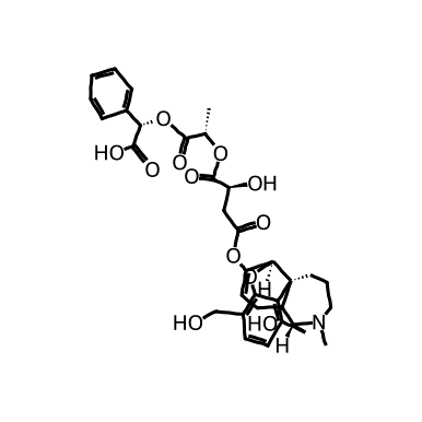 C[C@H](OC(=O)[C@@H](O)CC(=O)OC1=CC[C@@]2(O)[C@H]3Cc4ccc(CO)c5c4[C@@]2(CCCN3C)[C@H]1O5)C(=O)O[C@H](C(=O)O)c1ccccc1